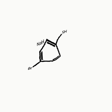 Sc1ccc(Br)cc1.[NaH]